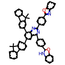 CC1(C)c2ccccc2-c2ccc(-c3cc(-c4ccc5c(c4)C(C)(C)c4ccccc4-5)c4nc(-c5ccc(-c6nc7ccccc7o6)cc5)nc(-c5ccc(C6Nc7ccccc7O6)cc5)c4c3)cc21